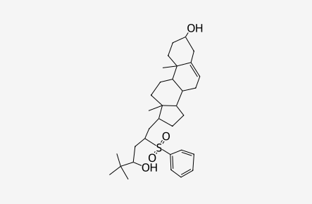 CC(C)(C)C(O)CC(CC1CCC2C3CC=C4CC(O)CCC4(C)C3CCC12C)S(=O)(=O)c1ccccc1